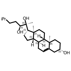 CC(C)CC[C@H](O)[C@@](C)(O)[C@H]1CC[C@H]2[C@@H]3CC=C4C[C@@H](O)CC[C@]4(C)[C@H]3CC[C@]12C